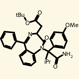 COc1ccc(C(C(N)=O)(C(C)C)N2C(=O)C(CC(=O)OC(C)(C)C)N=C(c3ccccc3)c3ccccc32)cc1